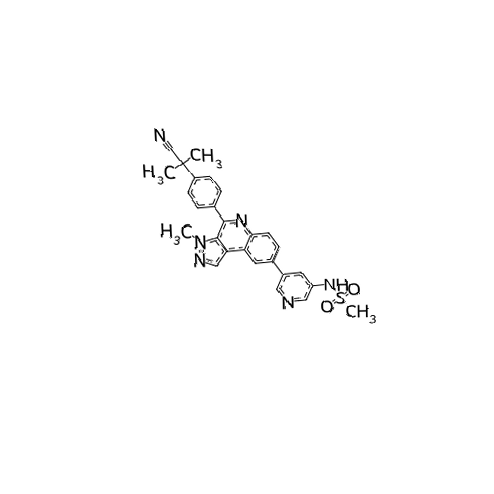 Cn1ncc2c3cc(-c4cncc(NS(C)(=O)=O)c4)ccc3nc(-c3ccc(C(C)(C)C#N)cc3)c21